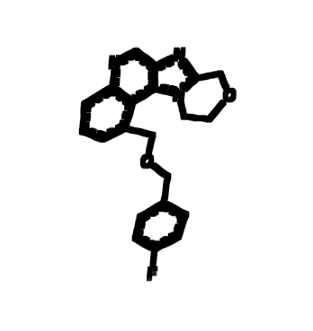 Fc1ccc(COCc2cccc3ncc4nc5n(c4c23)CCOC5)cc1